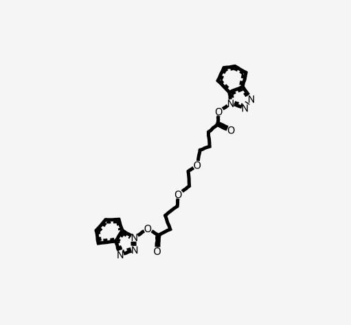 O=C(CCCOCCOCCCC(=O)On1nnc2ccccc21)On1nnc2ccccc21